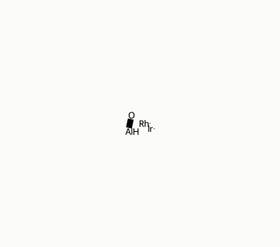 [Ir].[O]=[AlH].[Rh]